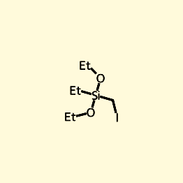 CCO[Si](CC)(CI)OCC